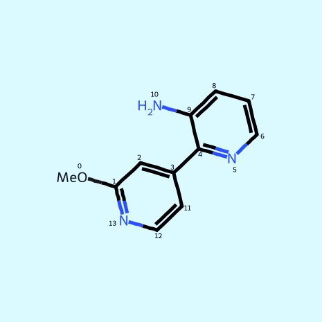 COc1cc(-c2ncccc2N)ccn1